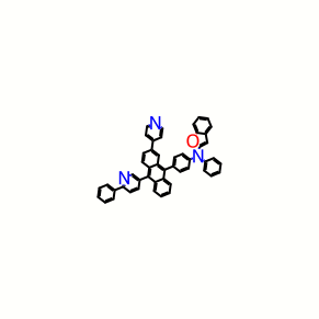 c1ccc(-c2ccc(-c3c4ccccc4c(-c4ccc(N(c5ccccc5)c5cc6ccccc6o5)cc4)c4cc(-c5ccncc5)ccc34)cn2)cc1